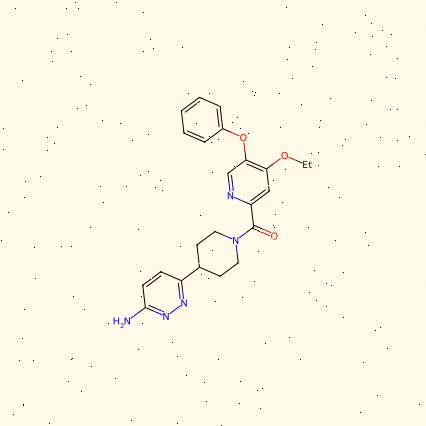 CCOc1cc(C(=O)N2CCC(c3ccc(N)nn3)CC2)ncc1Oc1ccccc1